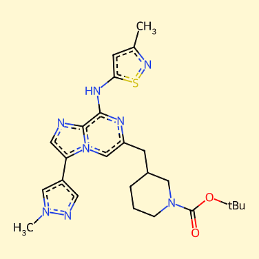 Cc1cc(Nc2nc(CC3CCCN(C(=O)OC(C)(C)C)C3)cn3c(-c4cnn(C)c4)cnc23)sn1